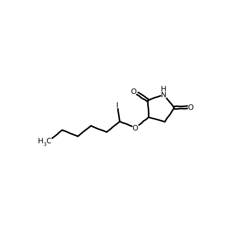 CCCCCC(I)OC1CC(=O)NC1=O